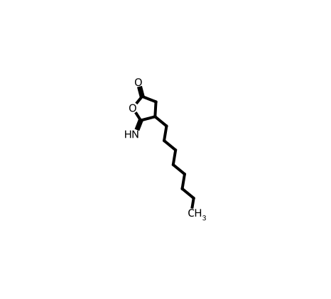 CCCCCCCCC1CC(=O)OC1=N